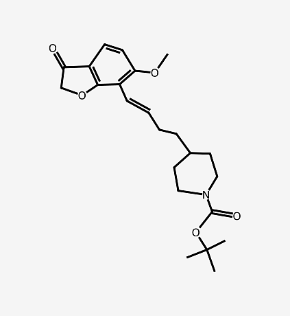 COc1ccc2c(c1C=CCCC1CCN(C(=O)OC(C)(C)C)CC1)OCC2=O